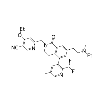 CCOc1cc(CN2CCc3c(cc(CCN(C)CC)cc3-c3cc(C)cnc3C(F)F)C2=O)ncc1C#N